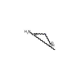 CCCCCCCC/C=C\CCCCCCCC(=O)O.CCCCCCCCCCCCCCCCCCCCNCCCN